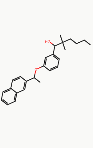 CCCCC(C)(C)C(O)c1cccc(OC(C)c2ccc3ccccc3c2)c1